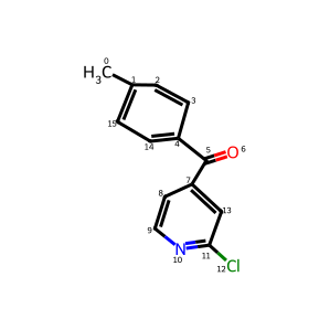 Cc1ccc(C(=O)c2ccnc(Cl)c2)cc1